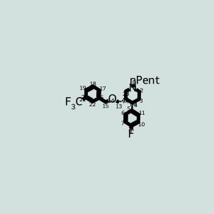 CCCCCN1CC[C@@H](c2ccc(F)cc2)[C@H](COCc2cccc(C(F)(F)F)c2)C1